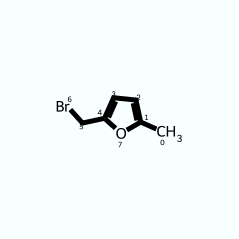 Cc1ccc(CBr)o1